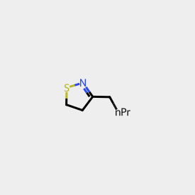 CCCCC1=NSCC1